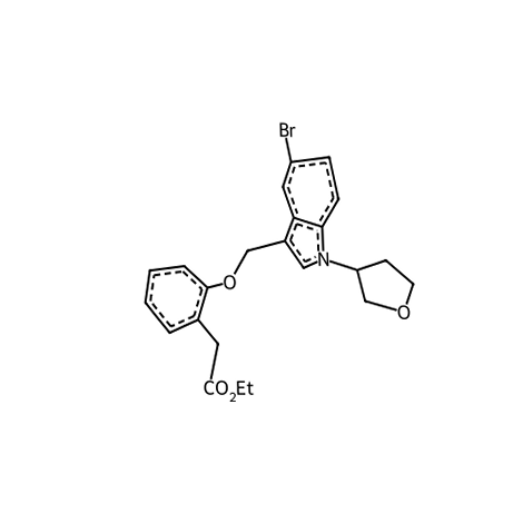 CCOC(=O)Cc1ccccc1OCc1cn(C2CCOC2)c2ccc(Br)cc12